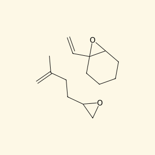 C=C(C)CCC1CO1.C=CC12CCCCC1O2